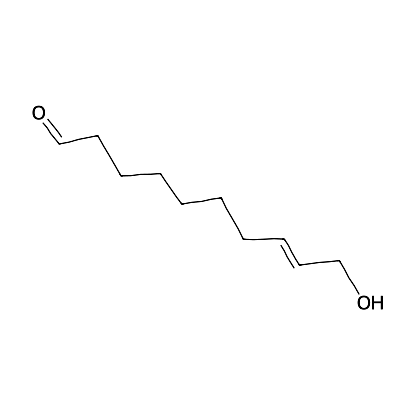 O=CCCCCCCC=CCO